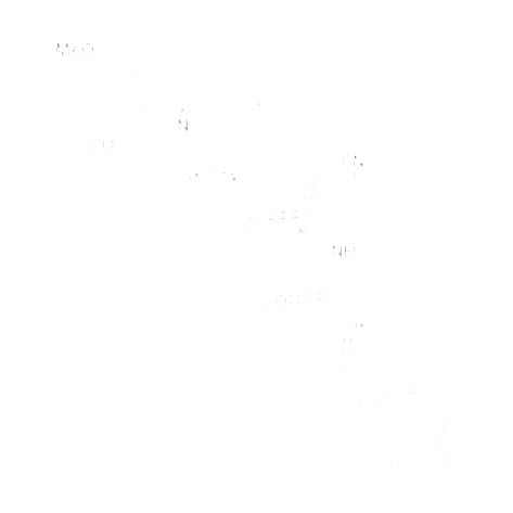 COCC(=O)N1CCc2c(sc(NC(=O)C=Cc3ccccc3)c2C#N)C1